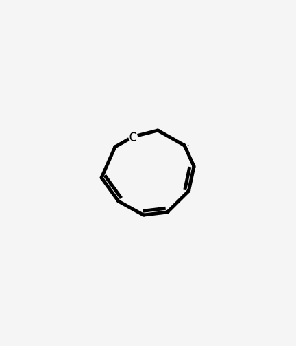 [CH]1C=CC=CC=CCCC1